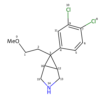 COCCC1(c2ccc(Cl)c(Cl)c2)C2CNCC21